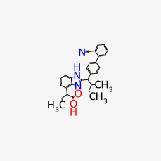 CCC(C(=O)O)c1cccc2[nH]c(C(c3ccc(-c4ccccc4C#N)cc3)C(C)CC)nc12